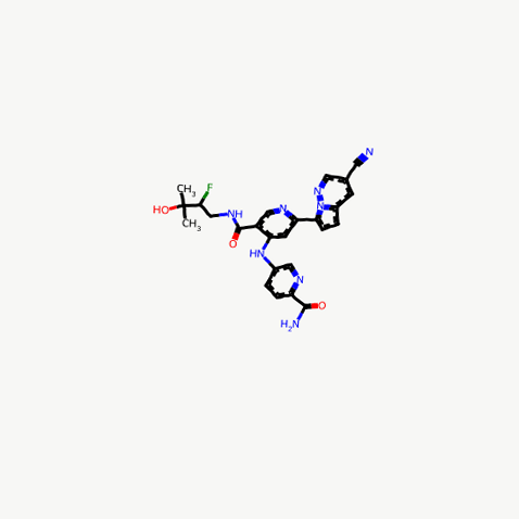 CC(C)(O)C(F)CNC(=O)c1cnc(-c2ccc3cc(C#N)cnn23)cc1Nc1ccc(C(N)=O)nc1